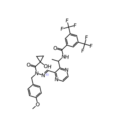 COc1ccc(CN(/N=C/c2nccnc2C(C)NC(=O)c2cc(C(F)(F)F)cc(C(F)(F)F)c2)C(=O)C2(O)CC2)cc1